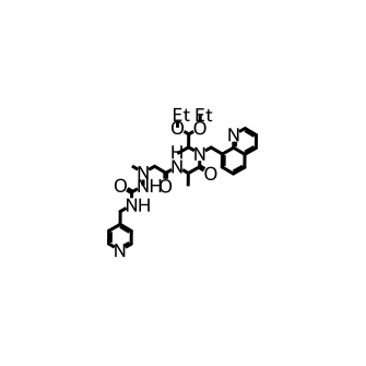 CCOC(OCC)C(C)N(Cc1cccc2cccnc12)C(=O)C(C)NC(=O)CN(C)NC(=O)NCc1ccncc1